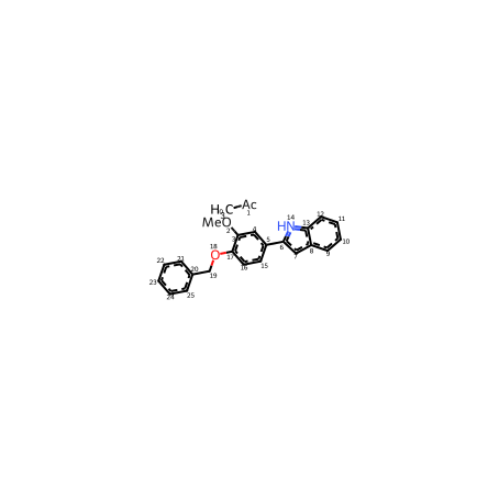 CC(C)=O.COc1cc(-c2cc3ccccc3[nH]2)ccc1OCc1ccccc1